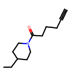 C#CCCCC(=O)N1CCC(CC)CC1